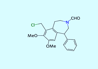 COc1cc2c(c(CCl)c1OC)CCN(C=O)CC2c1ccccc1